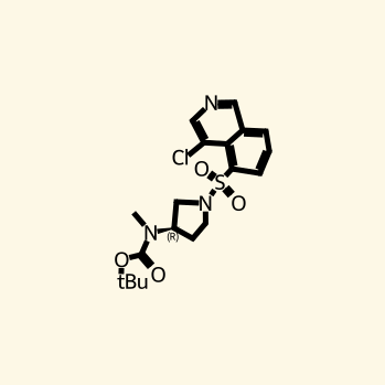 CN(C(=O)OC(C)(C)C)[C@@H]1CCN(S(=O)(=O)c2cccc3cncc(Cl)c23)C1